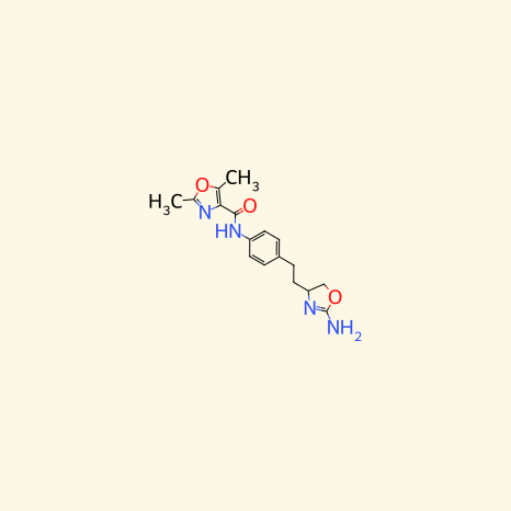 Cc1nc(C(=O)Nc2ccc(CCC3COC(N)=N3)cc2)c(C)o1